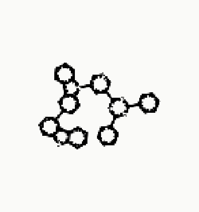 c1ccc(-c2nc(-c3ccccc3)nc(-c3cncc(-n4c5ccccc5c5cc(-c6cccc7oc8ccccc8c67)ccc54)c3)n2)cc1